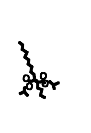 CCCCCCCCCCC(C(=O)OCC(C)C)=C(CCCC)C(=O)OCC(C)C